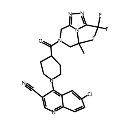 CC1(C)CN(C(=O)C2CCN(c3c(C#N)cnc4ccc(Cl)cc34)CC2)Cc2nnc(C(F)(F)F)n21